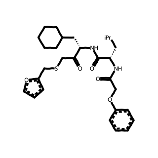 CC(C)C[C@H](NC(=O)COc1ccccc1)C(=O)N[C@@H](CC1CCCCC1)C(=O)CSCc1ccco1